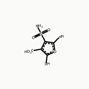 CCCc1oc(CCC)c(S(N)(=O)=O)c1C(=O)O